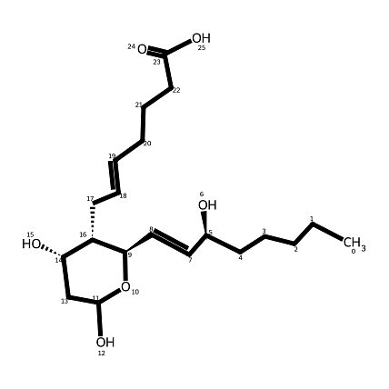 CCCCC[C@H](O)C=C[C@H]1OC(O)C[C@H](O)[C@@H]1CC=CCCCC(=O)O